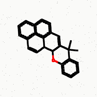 CC1(C)C2=Cc3ccc4cccc5c4c3C(C=C5)C2Oc2ccccc21